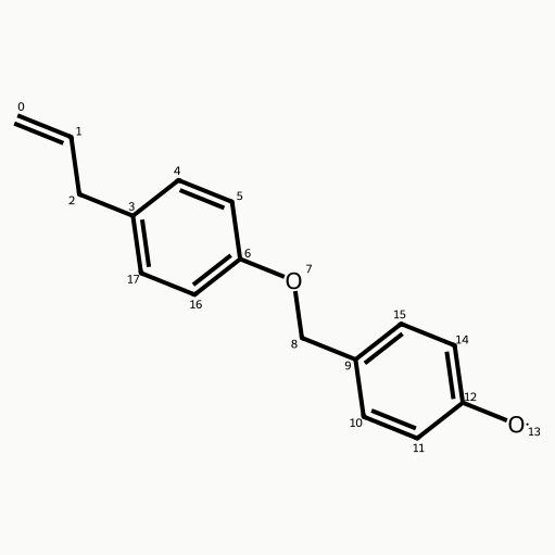 C=CCc1ccc(OCc2ccc([O])cc2)cc1